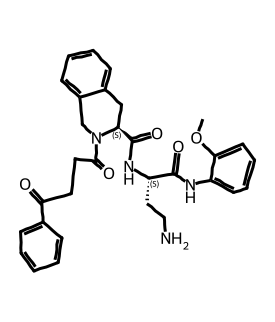 COc1ccccc1NC(=O)[C@H](CCN)NC(=O)[C@@H]1Cc2ccccc2CN1C(=O)CCC(=O)c1ccccc1